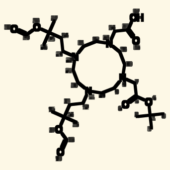 CC(C)(C)OC(=O)CN1CCN(CCC(C)(C)OC=O)CCN(CCC(C)(C)OC=O)CCN(CC(=O)O)CC1